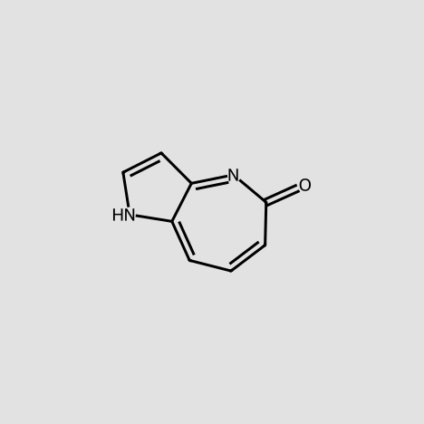 O=c1cccc2[nH]ccc2n1